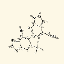 CC(C)(C)c1cc2nonc2c(Br)c1-c1[c]c(C#N)c2nonc2c1